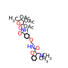 CC(=O)O[C@H]1[C@H](OC(C)=O)[C@H](ONC(=O)c2ccc(OCCNC(=O)C3Oc4ccccc4C3CN(C)C)cc2)O[C@@H](C)[C@H]1OC(C)=O